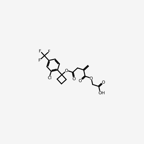 C=C(CC(=O)OC1(c2ccc(C(F)(F)F)cc2Cl)CCC1)C(=O)OCC(=O)O